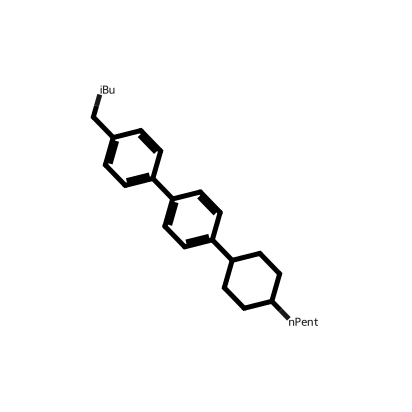 CCCCCC1CCC(c2ccc(-c3ccc(CC(C)CC)cc3)cc2)CC1